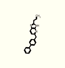 C=CCc1nc2ccc(Cc3ccc(-c4ccccc4)cc3)nc2[nH]1